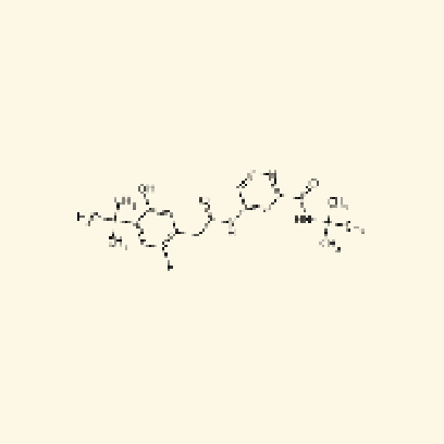 CC(C)(C)NC(=O)c1cc(NC(=O)Cc2cc(O)c(C(C)(C)C)cc2F)ccn1